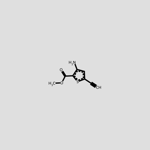 C#Cc1cc(N)c(C(=O)OC)s1